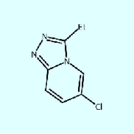 CCc1nnc2ccc(Cl)cn12